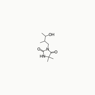 CC(O)C(C)CN1C(=O)NC(C)(C)C1=O